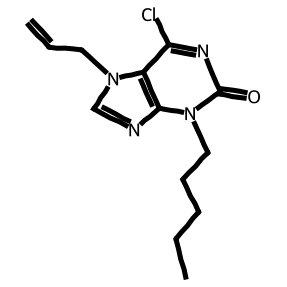 C=CCn1cnc2c1c(Cl)nc(=O)n2CCCCC